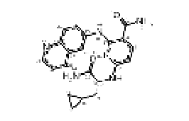 NC(=O)c1ccc(N[C@H](CC2CC2)C(N)=O)nc1Nc1ccc2ncccc2c1